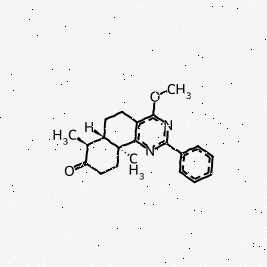 COc1nc(-c2ccccc2)nc2c1CC[C@H]1[C@H](C)C(=O)CC[C@]21C